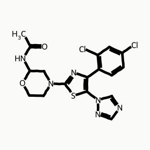 CC(=O)NC1CN(c2nc(-c3ccc(Cl)cc3Cl)c(-n3cncn3)s2)CCO1